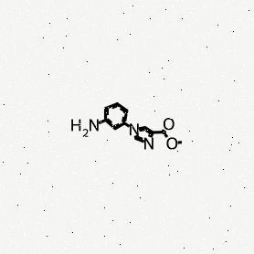 COC(=O)c1cn(-c2cccc(N)c2)cn1